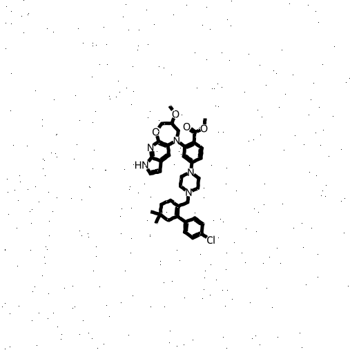 COC(=O)c1ccc(N2CCN(CC3=C(c4ccc(Cl)cc4)CC(C)(C)CC3)CC2)cc1N1CC(OC)COc2nc3[nH]ccc3cc21